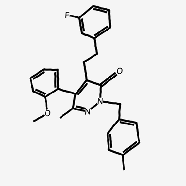 COc1ccccc1-c1c(C)nn(Cc2ccc(C)cc2)c(=O)c1CCc1cccc(F)c1